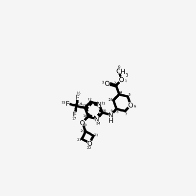 COC(=O)C1COCC(Nc2ncc(C(F)(F)F)c(OC3COC3)n2)C1